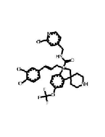 O=C(NCc1ccnc(Cl)c1)[N+]1(C/C=C/c2ccc(Cl)c(Cl)c2)CC2(CCNCC2)c2cc(OC(F)(F)F)ccc21